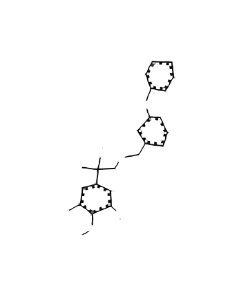 CCOc1c(F)cc(C(O)(COCc2cccc(Oc3ccccc3)c2)C(F)(F)F)cc1F